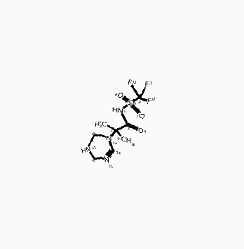 CC(C)(C(=O)NS(=O)(=O)C(F)(F)F)N1C=NCNC1